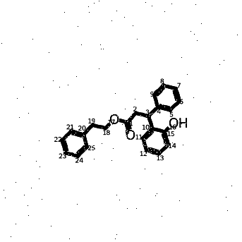 O=C(CC(c1ccccc1)c1ccccc1O)OCCc1ccccc1